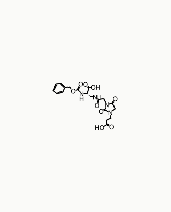 O=C(O)CCN1CC(=O)N(CC(=O)NC[C@H](NC(=O)OCc2ccccc2)C(=O)O)C1=O